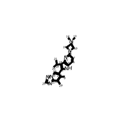 Cc1c(-c2[nH]c3ccc(N4CC(N(C)C)C4)nc3c2C(C)C)cn2ncnc2c1C